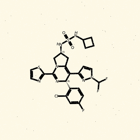 O=S(=O)(NC1CCC1)N[C@H]1CC2=C(c3ccn(C(F)F)n3)[C@H](c3ccc(F)cc3Cl)N=C(c3nccs3)N2C1